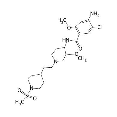 COc1cc(N)c(Cl)cc1C(=O)NC1CCN(CCC2CCN(S(C)(=O)=O)CC2)CC1OC